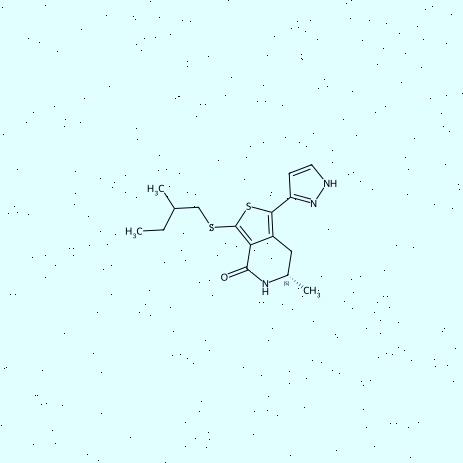 CCC(C)CSc1sc(-c2cc[nH]n2)c2c1C(=O)N[C@@H](C)C2